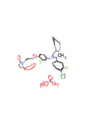 CC(c1ccc(Cl)c(F)c1)N(Cc1ccc(OCCN2C(=O)CCC2=O)c(F)c1)CC1CCCCC1.O=C(O)O